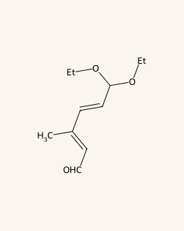 CCOC(C=CC(C)=CC=O)OCC